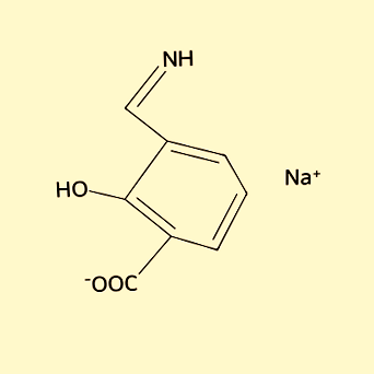 N=Cc1cccc(C(=O)[O-])c1O.[Na+]